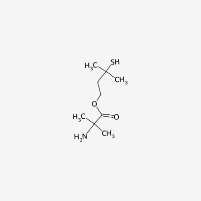 CC(C)(S)CCOC(=O)C(C)(C)N